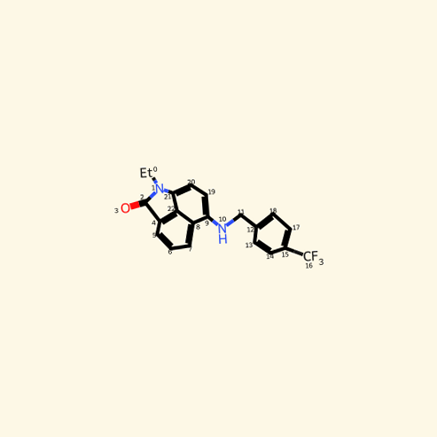 CCN1C(=O)c2cccc3c(NCc4ccc(C(F)(F)F)cc4)ccc1c23